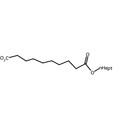 CCCCCCCOC(=O)CCCCCCCCC(=O)O